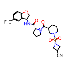 N#CC1CN(S(=O)(=O)N2CCC[C@H](C(=O)N3CCC[C@@H]3C(=O)N[C@@H]3COc4ccc(C(F)(F)F)cc43)C2)C1